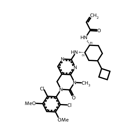 C=CC(=O)N[C@@H]1CCC(C2CCC2)C[C@@H]1Nc1ncc2c(n1)N(C)C(=O)N(c1c(Cl)c(OC)cc(OC)c1Cl)C2